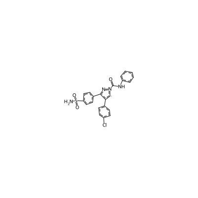 NS(=O)(=O)c1ccc(-c2nn(C(=O)Nc3ccccc3)[c]c2-c2ccc(Cl)cc2)cc1